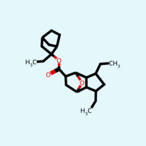 CCC1CC(CC)C2C3OC(CC3C(=O)OC3(CC)CC4CCC3C4)C12